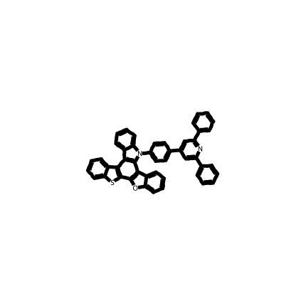 c1ccc(-c2cc(-c3ccc(-n4c5ccccc5c5c6c7ccccc7sc6c6oc7ccccc7c6c54)cc3)cc(-c3ccccc3)n2)cc1